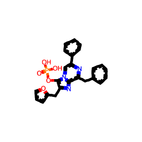 O=P(O)(O)Oc1c(Cc2ccco2)nc2c(Cc3ccccc3)nc(-c3ccccc3)cn12